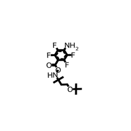 CC(C)(CCOC(C)(C)C)NOC(=O)c1c(F)c(F)c(N)c(F)c1F